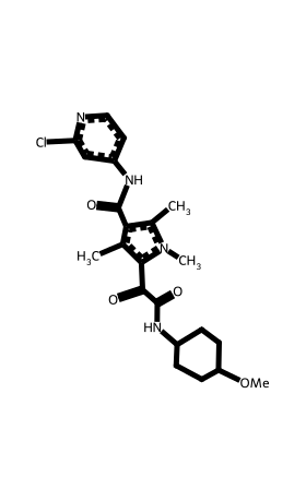 COC1CCC(NC(=O)C(=O)c2c(C)c(C(=O)Nc3ccnc(Cl)c3)c(C)n2C)CC1